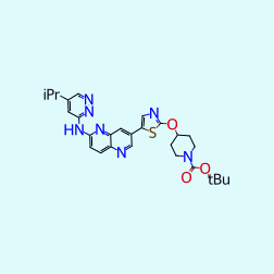 CC(C)c1cnnc(Nc2ccc3ncc(-c4cnc(OC5CCN(C(=O)OC(C)(C)C)CC5)s4)cc3n2)c1